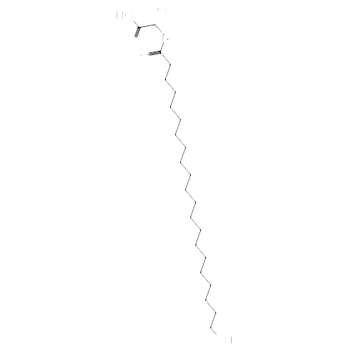 CCCCCCCCCCCCCCCCCCCCCC(=O)N[C@@H](C)C(=O)O